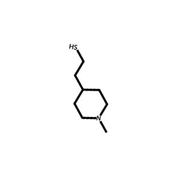 CN1CCC(CCS)CC1